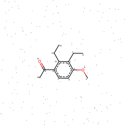 CCc1c(OC)ccc(C(C)=O)c1CC